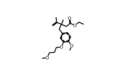 C=C(C)C(C)(CC(=O)OCC)Cc1ccc(OC)c(OCCCOC)c1